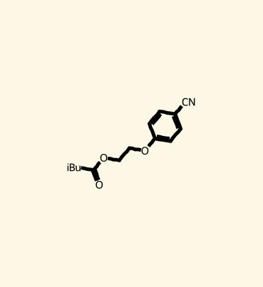 CCC(C)C(=O)OCCOc1ccc(C#N)cc1